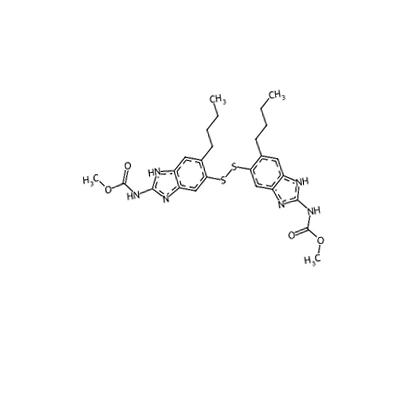 CCCCc1cc2[nH]c(NC(=O)OC)nc2cc1SSc1cc2nc(NC(=O)OC)[nH]c2cc1CCCC